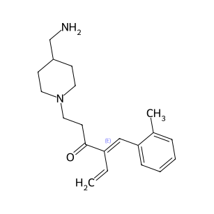 C=C/C(=C\c1ccccc1C)C(=O)CCN1CCC(CN)CC1